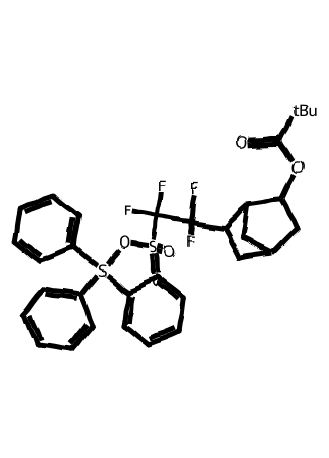 CC(C)(C)C(=O)OC1CC2CC1C(C(F)(F)C(F)(F)S(=O)(=O)OS(c1ccccc1)(c1ccccc1)c1ccccc1)C2